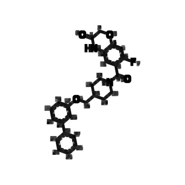 O=C1COc2cc(F)c(C(=O)N3CCC(COc4cccc(-c5ccccc5)c4)CC3)cc2N1